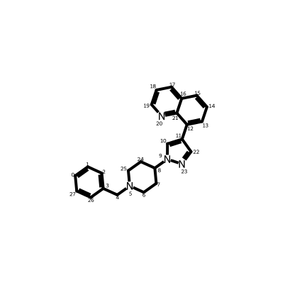 c1ccc(CN2CCC(n3cc(-c4cccc5cccnc45)cn3)CC2)cc1